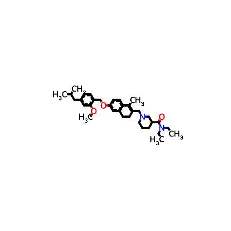 CCN(CC)C(=O)C1CCCN(CC2=C(C)c3ccc(OCc4ccc(CC(C)C)cc4OC)cc3CC2)C1